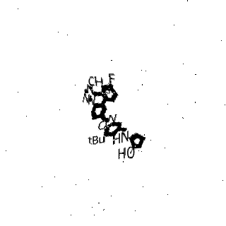 Cn1cnnc1-c1cc(F)ccc1-c1cccc(-c2nc3cc(CN[C@@H]4CCC[C@@H]4O)cc(C(C)(C)C)c3o2)c1